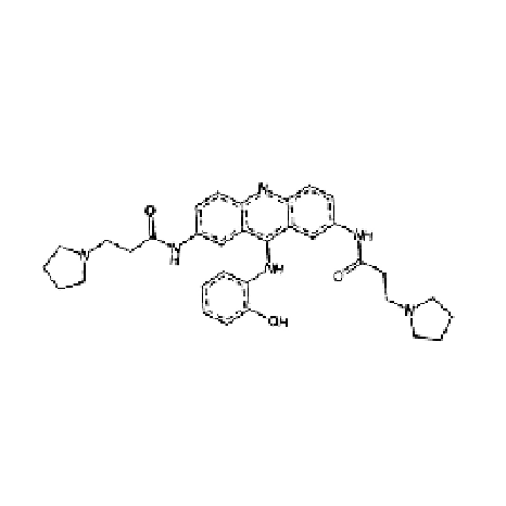 O=C(CCN1CCCC1)Nc1ccc2nc3ccc(NC(=O)CCN4CCCC4)cc3c(Nc3ccccc3O)c2c1